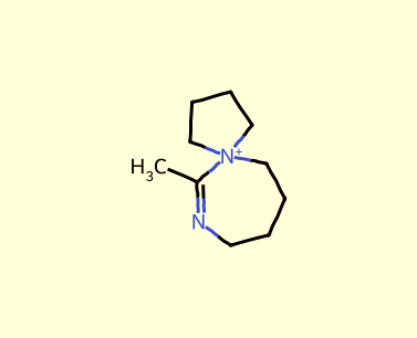 CC1=NCCCC[N+]12CCCC2